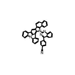 N#Cc1ccc(-c2nc(-n3c4c5ccccc5ccc4c4cc5c6ccccc6n6c7ccccc7c(c43)c56)nc3ccccc23)cc1